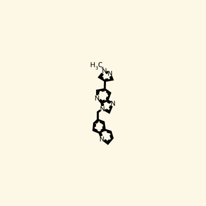 Cn1cc(-c2cnc3c(c2)ncn3Cc2ccc3ncccc3c2)cn1